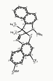 CCCCCCN1c2ccc3ccccc3c2C(C)(C)C12C=Nc1c(cc(C(F)(F)F)c3cc(OC)ccc13)O2